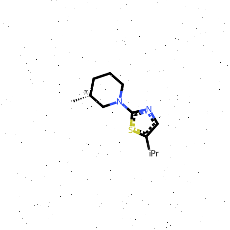 [CH2][C@@H]1CCCN(c2ncc(C(C)C)s2)C1